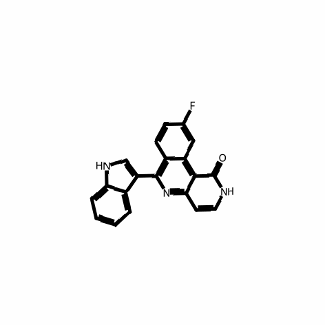 O=c1[nH]ccc2nc(-c3c[nH]c4ccccc34)c3ccc(F)cc3c12